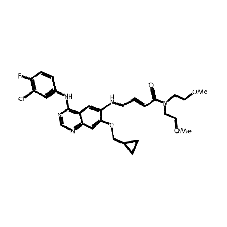 COCCN(CCOC)C(=O)C=CCNc1cc2c(Nc3ccc(F)c(Cl)c3)ncnc2cc1OCC1CC1